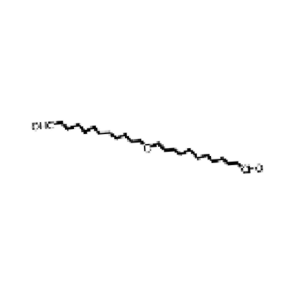 O=CCCCCCCCCCCCOCCCCCCCCCCCC=O